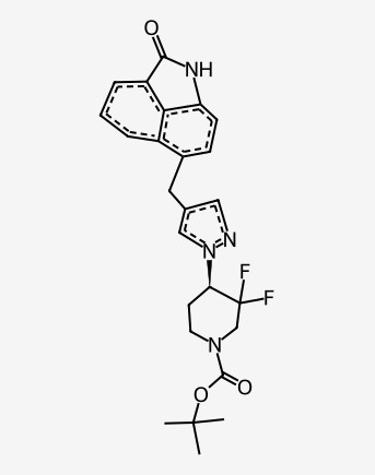 CC(C)(C)OC(=O)N1CC[C@@H](n2cc(Cc3ccc4c5c(cccc35)C(=O)N4)cn2)C(F)(F)C1